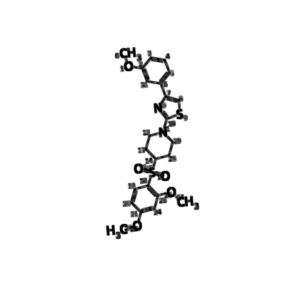 COc1cccc(-c2csc(N3CCC(S(=O)(=O)c4ccc(OC)cc4OC)CC3)n2)c1